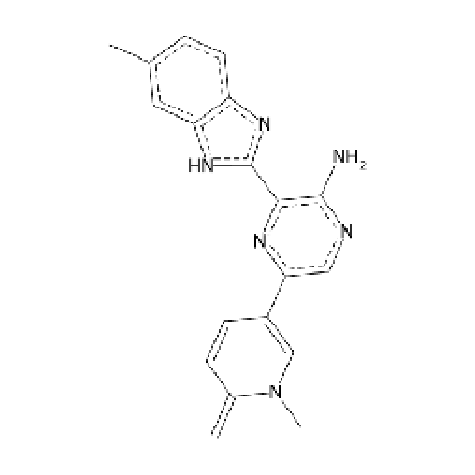 C=C1C=CC(c2cnc(N)c(-c3nc4ccc(C)cc4[nH]3)n2)=CN1C